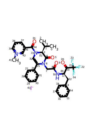 CC(C)[C@H]1C(=O)N(CC(=O)N[C@H](Cc2ccccc2)C(=O)C(F)(F)F)C(c2ccccc2)=CN1C(=O)c1ccc[n+](C)c1.[I-]